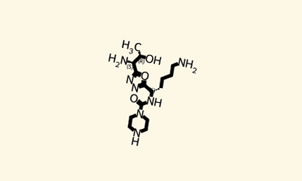 C[C@@H](O)[C@H](N)c1nnc([C@H](CCCCN)NC(=O)N2CCNCC2)o1